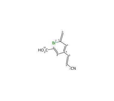 C=C(Br)C=C(C=CC#N)C=CC(=O)O